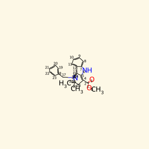 COC(=O)C1=C2Nc3ccccc3C23CCN(Cc2ccccc2)C3C(C)(C)C1